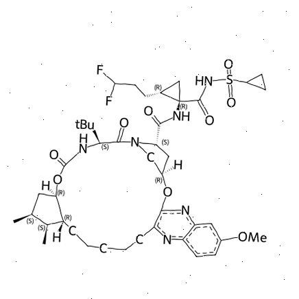 COc1ccc2nc3c(nc2c1)O[C@@H]1C[C@@H](C(=O)N[C@]2(C(=O)NS(=O)(=O)C4CC4)C[C@H]2CCC(F)F)N(C1)C(=O)[C@H](C(C)(C)C)NC(=O)O[C@@H]1C[C@H](C)[C@H](C)[C@H]1CCCCC3